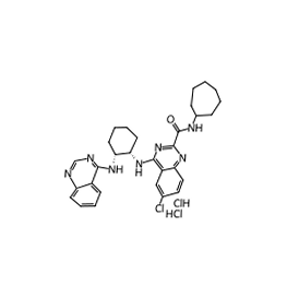 Cl.Cl.O=C(NC1CCCCCC1)c1nc(N[C@H]2CCCC[C@H]2Nc2ncnc3ccccc23)c2cc(Cl)ccc2n1